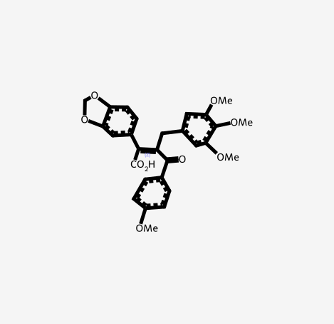 COc1ccc(C(=O)/C(Cc2cc(OC)c(OC)c(OC)c2)=C(\C(=O)O)c2ccc3c(c2)OCO3)cc1